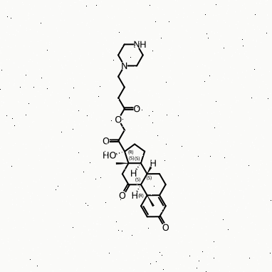 C[C@]12C=CC(=O)C=C1CC[C@@H]1[C@@H]2C(=O)C[C@@]2(C)[C@H]1CC[C@]2(O)C(=O)COC(=O)CCCN1CCNCC1